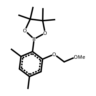 COCOc1cc(C)cc(C)c1B1OC(C)(C)C(C)(C)O1